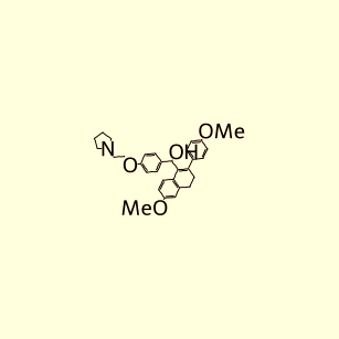 COc1ccc(C2=C(C(O)c3ccc(OCCN4CCCC4)cc3)c3ccc(OC)cc3CC2)cc1